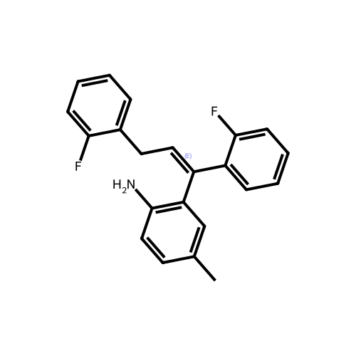 Cc1ccc(N)c(/C(=C\Cc2ccccc2F)c2ccccc2F)c1